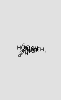 Cc1coc(C2CCCN2C(=O)c2cccc(C(=O)N[C@@H](Cc3ccccc3)[C@H](O)[C@H]3C[C@@H](OCc4ccccc4)CN3)c2)n1